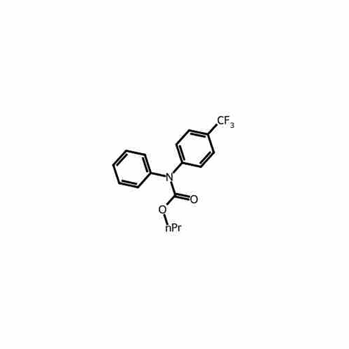 [CH2]CCOC(=O)N(c1ccccc1)c1ccc(C(F)(F)F)cc1